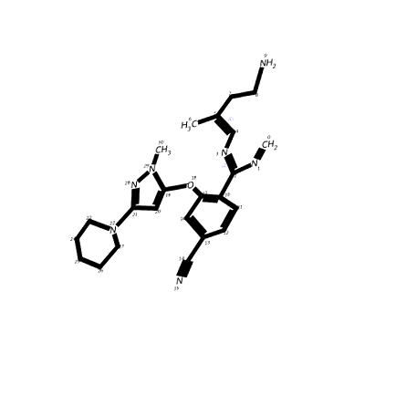 C=N/C(=N\C=C(/C)CCN)c1ccc(C#N)cc1Oc1cc(N2CCCCC2)nn1C